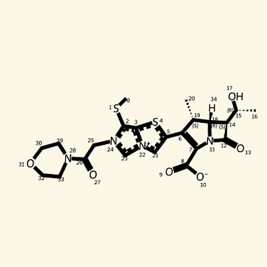 CSc1c2sc(C3=C(C(=O)[O-])N4C(=O)[C@H]([C@@H](C)O)[C@H]4[C@H]3C)c[n+]2cn1CC(=O)N1CCOCC1